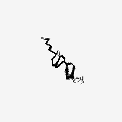 Cc1ccc(-c2ccc3c(c2)CCC(CCCCF)O3)cc1